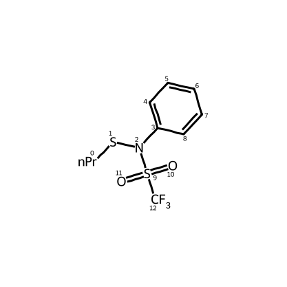 CCCSN(c1ccccc1)S(=O)(=O)C(F)(F)F